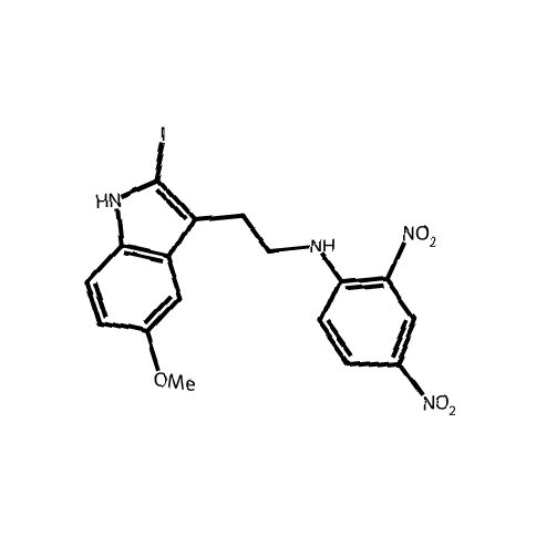 COc1ccc2[nH]c(I)c(CCNc3ccc([N+](=O)[O-])cc3[N+](=O)[O-])c2c1